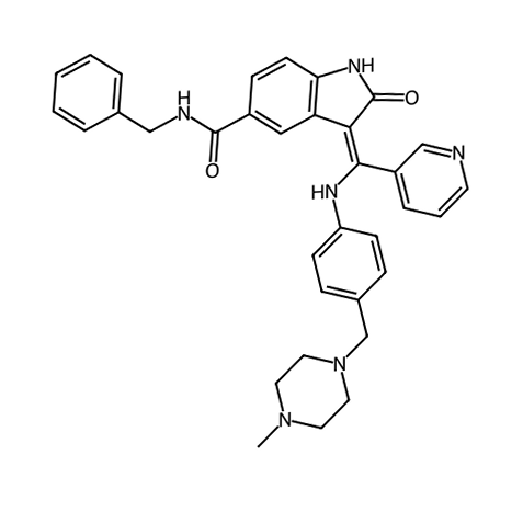 CN1CCN(Cc2ccc(NC(=C3C(=O)Nc4ccc(C(=O)NCc5ccccc5)cc43)c3cccnc3)cc2)CC1